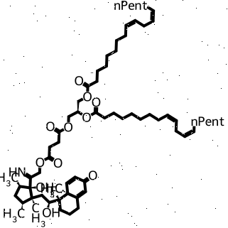 CCCCC/C=C\C/C=C\CCCCCCCC(=O)OC[C@H](COC(=O)CCC(=O)OCC(=N)[C@@]1(O)[C@H](C)C[C@@H](C)[C@]1(C)C[C@H](O)[C@@]1(F)CCCC2=CC(=O)C=C[C@@]21C)OC(=O)CCCCCCC/C=C\C/C=C\CCCCC